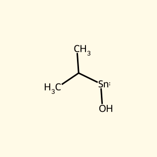 C[CH](C)[Sn][OH]